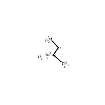 CCCN.I.[SiH4]